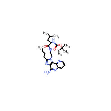 CCCCc1nc2c(N)nc3cccnc3c2n1CCNC(=O)C(CC(C)C)NC(=O)OC(C)(C)C